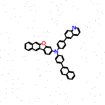 c1ccc2cc(-c3ccc(N(c4ccc(-c5ccc6ncccc6c5)cc4)c4ccc5c(c4)oc4cc6ccccc6cc45)cc3)ccc2c1